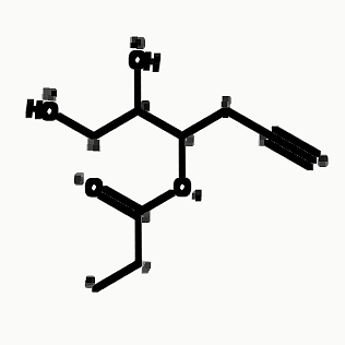 C#C[CH]C(OC(=O)CC)C(O)CO